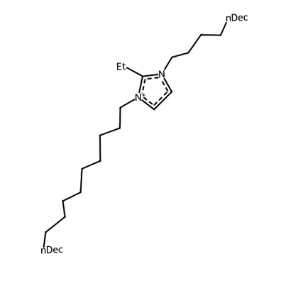 CCCCCCCCCCCCCCCCCCC[n+]1ccn(CCCCCCCCCCCCCC)c1CC